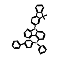 CC1(C)c2ccccc2-c2ccc(-n3c4ccccc4c4c(N(c5ccccc5)c5ccc(-c6ccccc6)cc5)cccc43)cc21